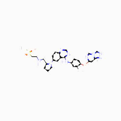 Cc1cc(Nc2ncnc3ccc(-n4cccc4CNCCS(C)(=O)=O)cc23)ccc1Oc1cc2nncn2cn1